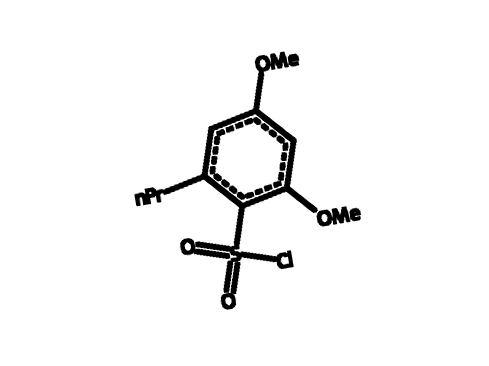 CCCc1cc(OC)cc(OC)c1S(=O)(=O)Cl